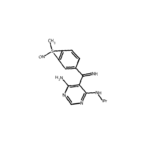 CC(C)Nc1ncnc(N)c1C(=N)c1ccc2c(c1)S2(C)N=O